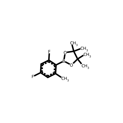 Cc1cc(F)cc(F)c1B1OC(C)(C)C(C)(C)O1